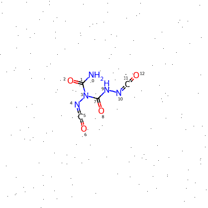 NC(=O)N(N=C=O)C(=O)NN=C=O